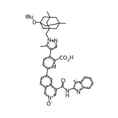 Cc1c(-c2ccc(-c3ccc4c[n+]([O-])cc(C(=O)Nc5nc6ccccc6s5)c4c3)nc2C(=O)O)cnn1CC12CC3(C)CC(C)(C1)CC(OC(C)(C)C)(C3)C2